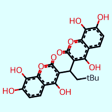 CC(C)(C)CC(c1c(O)c2ccc(O)c(O)c2oc1=O)c1c(O)c2ccc(O)c(O)c2oc1=O